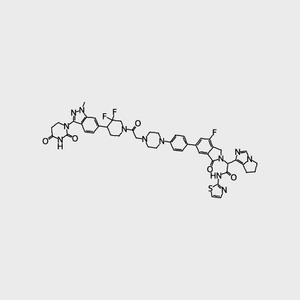 Cn1nc(N2CCC(=O)NC2=O)c2ccc(C3CCN(C(=O)CN4CCN(c5ccc(-c6cc(F)c7c(c6)C(=O)N(C(C(=O)Nc6nccs6)c6ncn8c6CCC8)C7)cc5)CC4)CC3(F)F)cc21